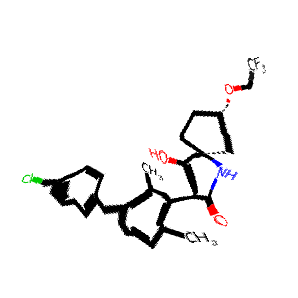 Cc1ccc(-c2ccc(Cl)cc2)c(C)c1C1=C(O)[C@]2(CC[C@@H](OCC(F)(F)F)CC2)NC1=O